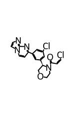 O=C(/C=C\Cl)N1CCOC[C@H]1c1cc(Cl)cc(-c2ccn3ccnc3n2)c1